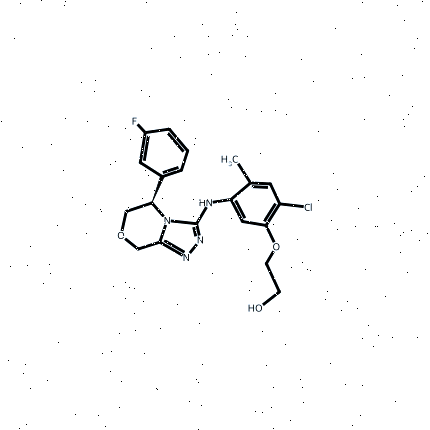 Cc1cc(Cl)c(OCCO)cc1Nc1nnc2n1[C@H](c1cccc(F)c1)COC2